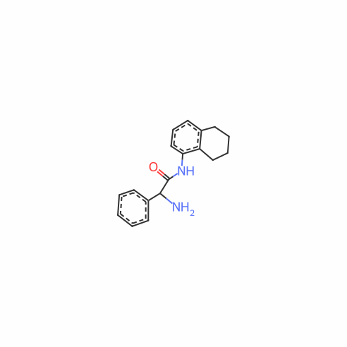 NC(C(=O)Nc1cccc2c1CCCC2)c1ccccc1